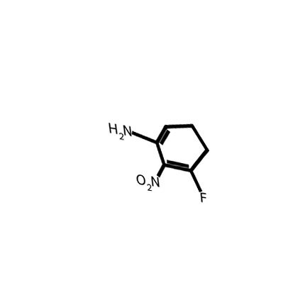 NC1=CCCC(F)=C1[N+](=O)[O-]